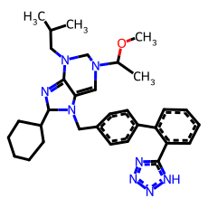 COC(C)N1C=C2C(=NC(C3CCCCC3)N2Cc2ccc(-c3ccccc3-c3nnn[nH]3)cc2)N(CC(C)C)C1